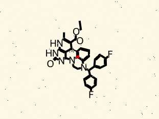 CCOC(=O)C1=C(C)Nc2[nH]c(=O)nc(N3CCN(C(c4ccc(F)cc4)c4ccc(F)cc4)CC3)c2[C@@H]1c1ccccc1